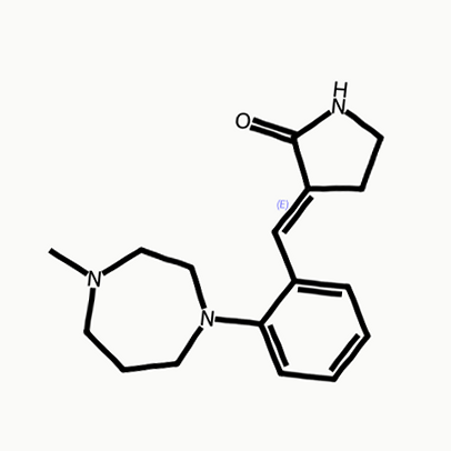 CN1CCCN(c2ccccc2/C=C2\CCNC2=O)CC1